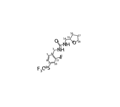 O=C(NCc1ccc(SC(F)(F)F)cc1F)NCC1CCCO1